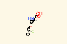 O=C(O)CC1CCc2c1[nH]c1ccc(OCc3ccc(C4CCCC4)c(C(F)(F)F)c3)cc21